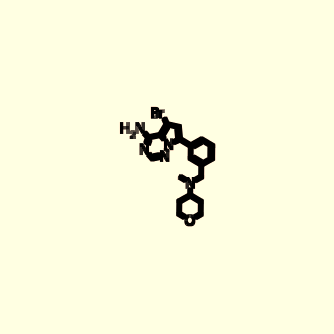 CN(Cc1cccc(-c2cc(Br)c3c(N)ncnn23)c1)C1CCOCC1